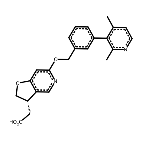 Cc1ccnc(C)c1-c1cccc(COc2cc3c(cn2)[C@H](CC(=O)O)CO3)c1